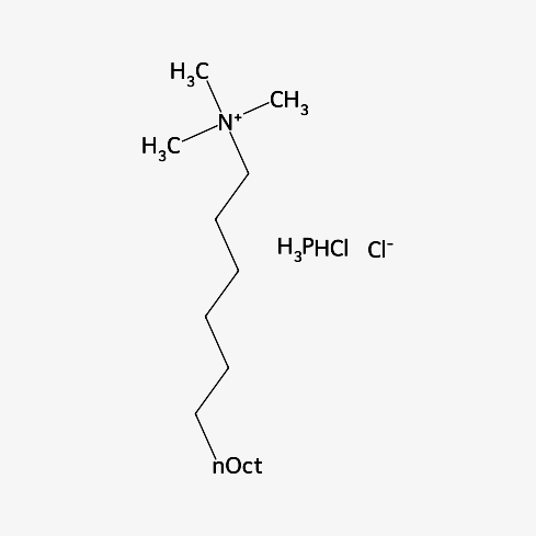 CCCCCCCCCCCCCC[N+](C)(C)C.Cl.P.[Cl-]